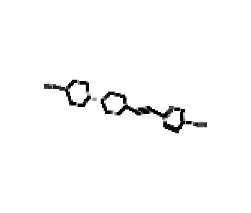 CCCCc1ccc(C#CC2CCC([C@H]3CC[C@H](CCCC)CC3)CC2)cc1